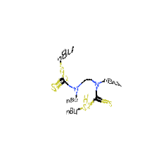 CCCC[SH2]C(=S)N(CCCC)CN(CCCC)C(=S)[SH2]CCCC